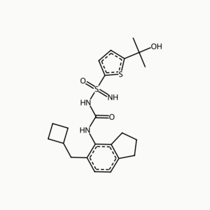 CC(C)(O)c1ccc(S(=N)(=O)NC(=O)Nc2c(CC3CCC3)ccc3c2CCC3)s1